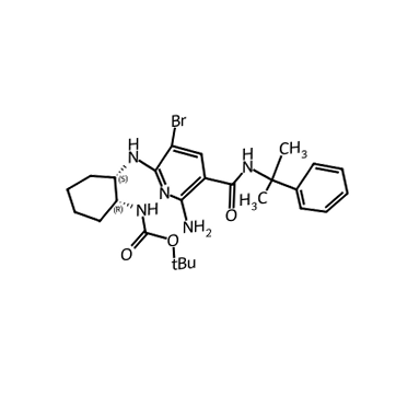 CC(C)(C)OC(=O)N[C@@H]1CCCC[C@@H]1Nc1nc(N)c(C(=O)NC(C)(C)c2ccccc2)cc1Br